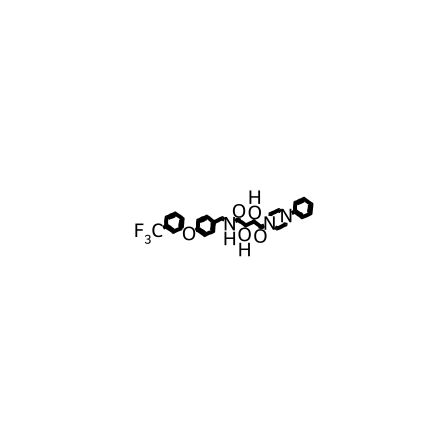 O=C(NCc1ccc(Oc2cccc(C(F)(F)F)c2)cc1)[C@H](O)[C@@H](O)C(=O)N1CCN(c2ccccc2)CC1